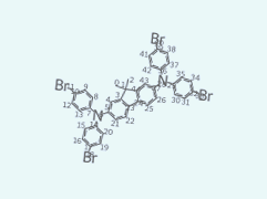 CC1(C)c2cc(N(c3ccc(Br)cc3)c3ccc(Br)cc3)ccc2-c2ccc(N(c3ccc(Br)cc3)c3ccc(Br)cc3)cc21